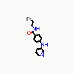 CC(C)CCNC(=O)c1ccc(Nc2cccnc2)cc1